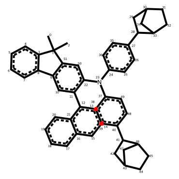 CC1(C)c2ccccc2-c2cc(-c3cccc4ccccc34)c(N(c3ccc(C4CC5CCC4C5)cc3)c3ccc(C4CC5CCC4C5)cc3)cc21